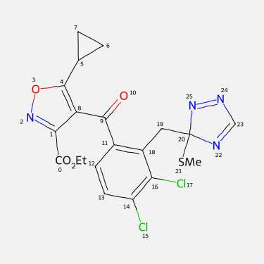 CCOC(=O)c1noc(C2CC2)c1C(=O)c1ccc(Cl)c(Cl)c1CC1(SC)N=CN=N1